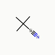 CC(C)(C)[Si]#N